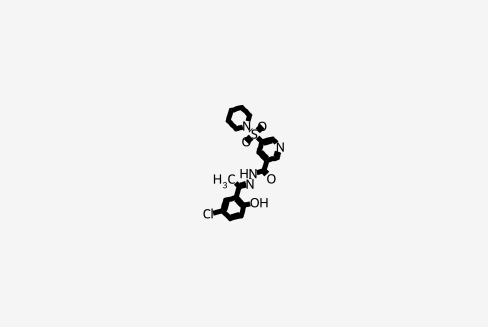 C/C(=N\NC(=O)c1cncc(S(=O)(=O)N2CCCCC2)c1)c1cc(Cl)ccc1O